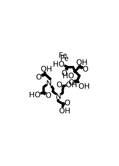 O=C(O)CC(O)(CC(=O)O)C(=O)O.O=C(O)CN(CCN(CC(=O)O)CC(=O)O)CC(=O)O.[Fe].[Fe]